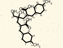 CC1CCC(CC(CC(C)(CO)CC(CC2CCC(C)CC2)C(=O)O)C(=O)O)CC1